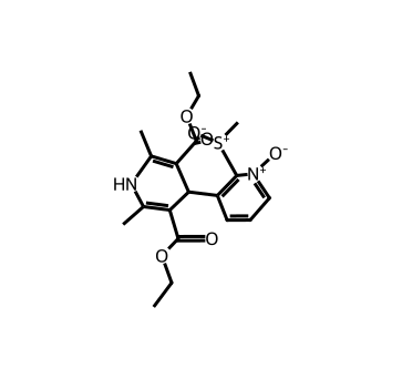 CCOC(=O)C1=C(C)NC(C)=C(C(=O)OCC)C1c1ccc[n+]([O-])c1[S+](C)[O-]